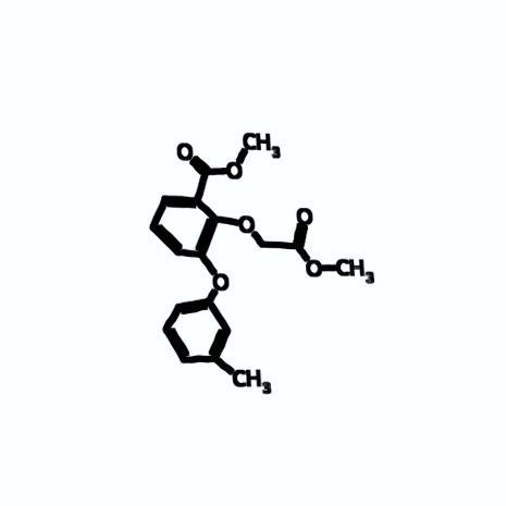 COC(=O)COc1c(Oc2cccc(C)c2)cccc1C(=O)OC